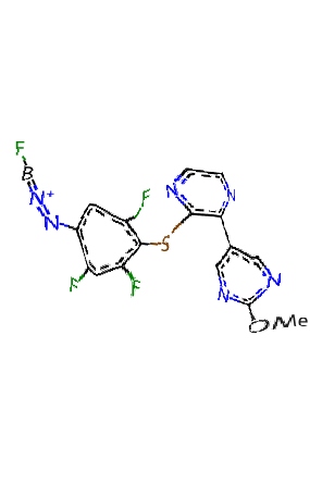 COc1ncc(-c2nccnc2Sc2c(F)cc(N=[N+]=BF)c(F)c2F)cn1